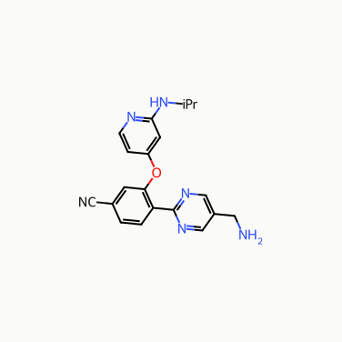 CC(C)Nc1cc(Oc2cc(C#N)ccc2-c2ncc(CN)cn2)ccn1